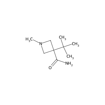 CN1CC(C(N)=O)(C(C)(C)C)C1